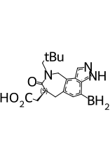 Bc1cc2c(c3cn[nH]c13)CN(CC(C)(C)C)C(=O)[C@H](CC(=O)O)C2